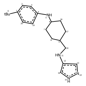 CC(C)(C)c1ccc(NC2CCC(CNc3cn[nH]c3)CC2)cc1